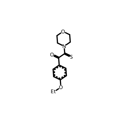 CCOc1ccc(C(=O)C(=S)N2CCOCC2)cc1